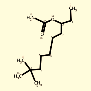 CCC(CCCCCC(C)(C)C)OC(N)=O